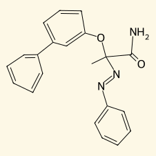 CC(N=Nc1ccccc1)(Oc1cccc(-c2ccccc2)c1)C(N)=O